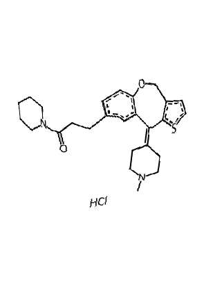 CN1CCC(=C2c3cc(CCC(=O)N4CCCCC4)ccc3OCc3ccsc32)CC1.Cl